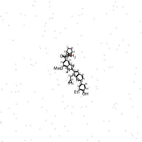 CCc1cc(-c2ccc3cc(-c4nc5cc(C(=O)N6CC7CCC6[C@@H]7N)cc(OC)c5n4C)n(CC4CC4)c3n2)ccc1O